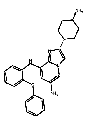 Nc1cc(Nc2ccccc2Oc2ccccc2)c2nc([C@H]3CC[C@H](N)CC3)cn2n1